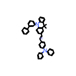 CC1(C)c2ccccc2N(c2cccc(-c3ccccc3)c2)c2ccc(/C=C/c3ccc(N(c4ccccc4)c4ccccc4)cc3)cc21